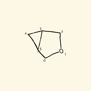 C1OCC2C[C]12